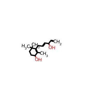 C=CC(O)/C=C/CC1=C(C)C(O)CCC1(C)C